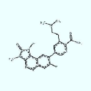 CC(C)n1c(=O)n(C)c2nnc3cc(F)c(-c4cnc(C(N)=O)c(CCN(C)C)c4)cc3c21